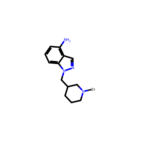 C[CH]N1CCCC(Cn2ncc3c(N)cccc32)C1